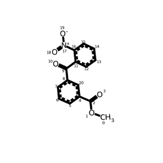 COC(=O)c1cccc(C(=O)c2ccccc2[N+](=O)[O-])c1